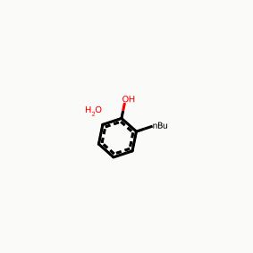 CCCCc1ccccc1O.O